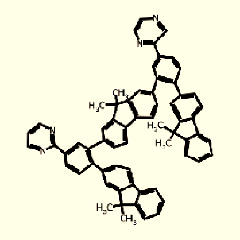 CC1(C)c2ccccc2-c2ccc(-c3ccc(-c4cnccn4)cc3-c3ccc4c(c3)C(C)(C)c3cc(-c5cc(-c6ncccn6)ccc5-c5ccc6c(c5)C(C)(C)c5ccccc5-6)ccc3-4)cc21